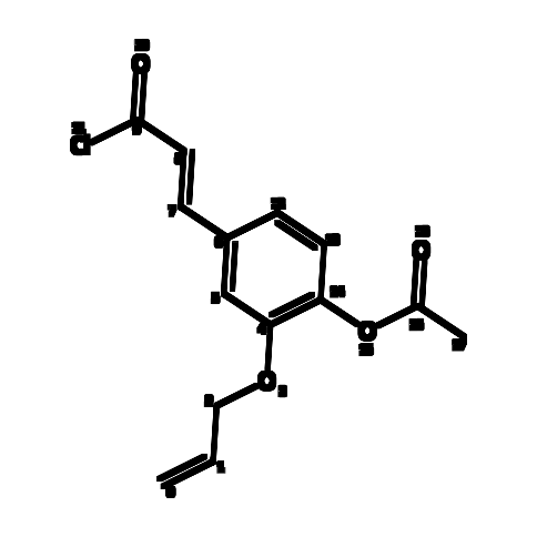 C=CCOc1cc(/C=C/C(=O)Cl)ccc1OC(C)=O